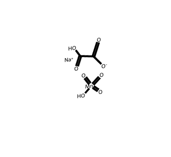 O=C([O-])C(=O)O.[Na+].[O]=[Mn](=[O])(=[O])[OH]